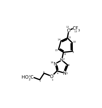 O=C(O)CCOc1ncn(-c2ccc(OC(F)(F)F)cc2)n1